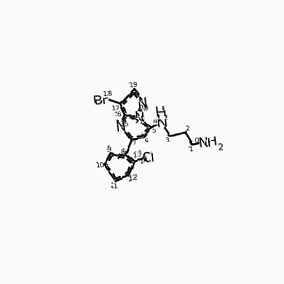 NCCCNc1cc(-c2ccccc2Cl)nc2c(Br)cnn12